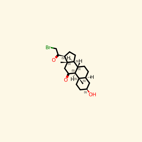 C[C@]12CC[C@H](O)C[C@@H]1CC[C@H]1[C@@H]3CC[C@H](C(=O)CBr)[C@@]3(C)CC(=O)[C@@H]12